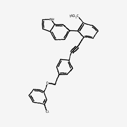 O=C(O)c1cccc(C#Cc2ccc(COc3cccc(Cl)c3)cc2)c1-c1ccc2cc[nH]c2c1